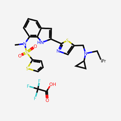 CC(C)CN(Cc1cnc(-c2cc3cccc(N(C)S(=O)(=O)c4cccs4)c3[nH]2)s1)C1CC1.O=C(O)C(F)(F)F